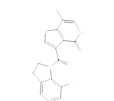 Cc1c[nH]c(=O)c2c(C(=O)N3CCc4cccc(O)c43)c[nH]c12